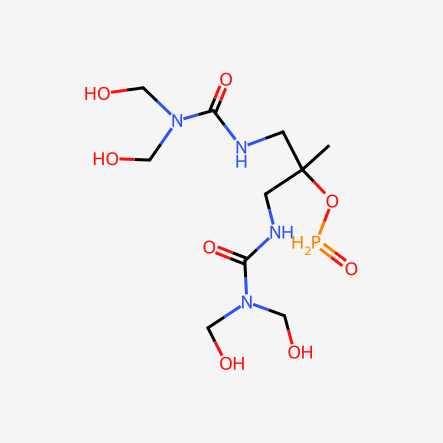 CC(CNC(=O)N(CO)CO)(CNC(=O)N(CO)CO)O[PH2]=O